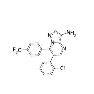 Nc1cnn2c(-c3ccc(C(F)(F)F)cc3)c(-c3ccccc3Cl)cnc12